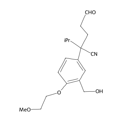 COCCOc1ccc(C(C#N)(CCC=O)C(C)C)cc1CO